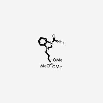 CO[Si](CCCN1CN(C(N)=O)c2ccccc21)(OC)OC